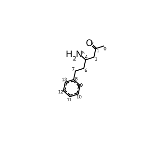 CC(=O)CC(N)CCc1ccccc1